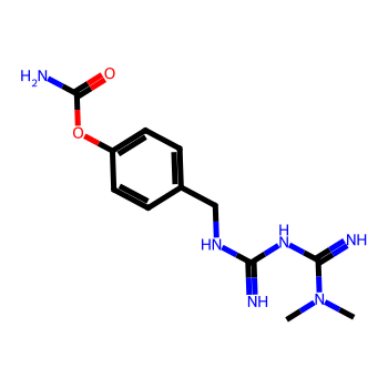 CN(C)C(=N)NC(=N)NCc1ccc(OC(N)=O)cc1